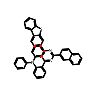 c1ccc(N(c2ccccc2)c2ccccc2-c2nc(-c3ccc4ccccc4c3)nc(-c3ccc4c(c3)sc3ccccc34)n2)cc1